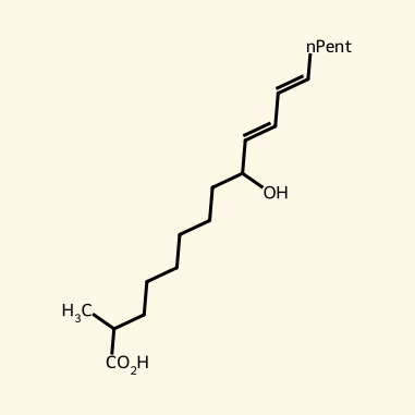 CCCCCC=CC=CC(O)CCCCCCC(C)C(=O)O